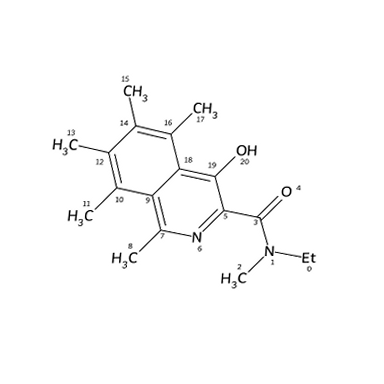 CCN(C)C(=O)c1nc(C)c2c(C)c(C)c(C)c(C)c2c1O